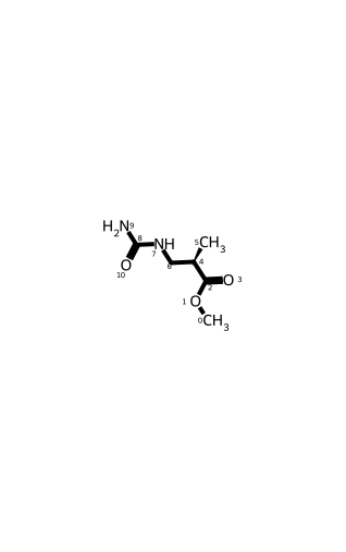 COC(=O)[C@H](C)CNC(N)=O